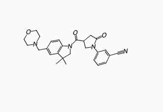 CC1(C)CN(C(=O)C2CC(=O)N(c3cccc(C#N)c3)C2)c2ccc(CN3CCOCC3)cc21